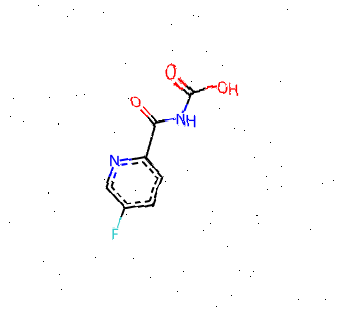 O=C(O)NC(=O)c1ccc(F)cn1